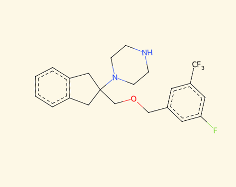 Fc1cc(COCC2(N3CCNCC3)Cc3ccccc3C2)cc(C(F)(F)F)c1